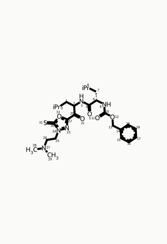 CC(C)CC(NC(=O)[C@H](CC(C)C)NC(=O)OCc1ccccc1)C(=O)c1nn(CCN(C)C)c(=S)o1